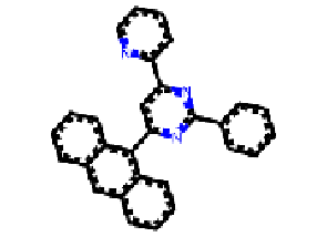 c1ccc(-c2nc(-c3ccccn3)cc(-c3c4ccccc4cc4ccccc34)n2)cc1